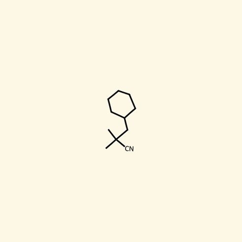 CC(C)(C#N)CC1CCCCC1